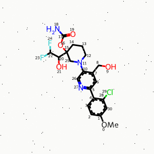 COc1ccc(-c2cc(CO)c(N3CCCC(OC(N)=O)(C(O)C(F)F)C3)cn2)c(Cl)c1